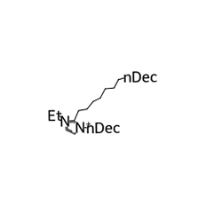 CCCCCCCCCCCCCCCCCc1n(CC)cc[n+]1CCCCCCCCCC